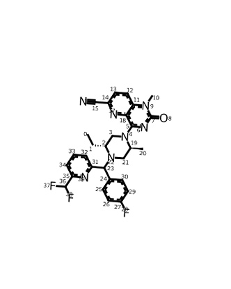 CC[C@@H]1CN(c2nc(=O)n(C)c3ccc(C#N)nc23)[C@@H](C)CN1C(c1ccc(F)cc1)c1cccc(C(F)F)n1